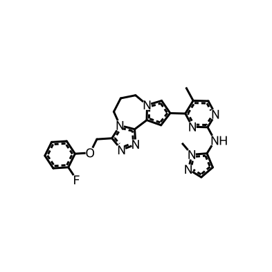 Cc1cnc(Nc2ccnn2C)nc1-c1cc2n(c1)CCCn1c(COc3ccccc3F)nnc1-2